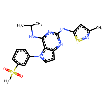 Cc1cc(Nc2nc(NC(C)C)c3c(ccn3-c3cccc(S(C)(=O)=O)c3)n2)sn1